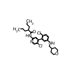 CCCC(CCC)C(=O)Nc1cc(-c2cc(NCC3CCOCC3)ccc2Cl)c(Cl)cn1